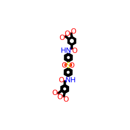 O=C(Nc1ccc(S(=O)(=O)c2ccc(NC(=O)C3CCC4C(=O)OC(=O)C4C3)cc2)cc1)c1ccc2c(c1)C(=O)OC2=O